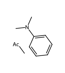 CC(C)=O.CN(C)c1ccccc1